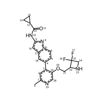 Cc1cc(-c2ccn3nc(NC(=O)C4CC4)cc3c2)c(OCC2NCC2(F)F)cn1